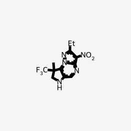 CCc1nn2c3c(cnc2c1[N+](=O)[O-])NCC3(C)C(F)(F)F